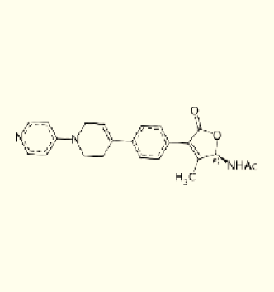 CC(=O)N[C@@H]1OC(=O)C(c2ccc(C3=CCN(c4ccncc4)CC3)cc2)=C1C